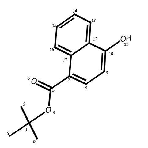 CC(C)(C)OC(=O)c1ccc(O)c2ccccc12